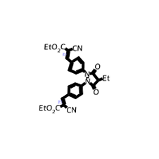 CCOC(=O)/C(C#N)=C/c1ccc(N2C(=O)C(CC)C(=O)N2c2ccc(/C=C(\C#N)C(=O)OCC)cc2)cc1